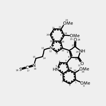 COc1ccc2[nH]cc(C3=C(c4cn(CCCN=C=S)c5ccc(OC)c(OC)c45)C(=O)NC3=O)c2c1OC